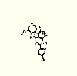 Cl.NC1=N[C@@](c2cc(NC(=O)c3ccc(Br)cn3)ccc2F)(C(F)F)CCOC1